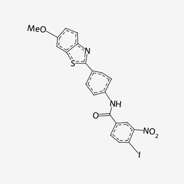 COc1ccc2nc(-c3ccc(NC(=O)c4ccc(I)c([N+](=O)[O-])c4)cc3)sc2c1